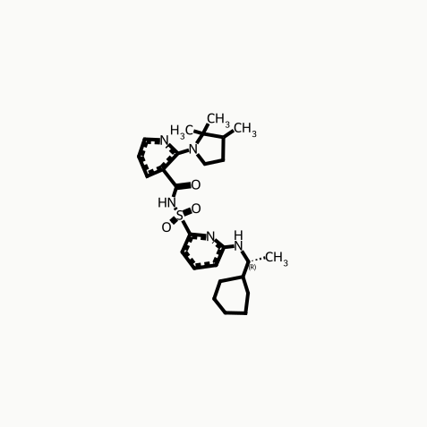 CC1CCN(c2ncccc2C(=O)NS(=O)(=O)c2cccc(N[C@H](C)C3CCCCC3)n2)C1(C)C